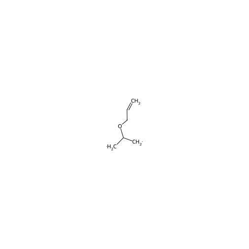 [CH2]C([CH2])OCC=C